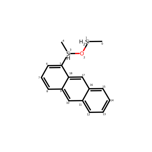 C[SiH2]O[SiH](C)c1cccc2cc3ccccc3cc12